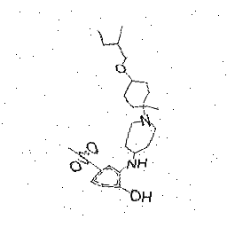 CCC(C)COC1CCC(C)(N2CCC(Nc3cc(S(C)(=O)=O)ccc3O)CC2)CC1